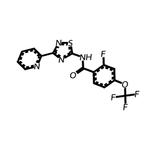 O=C(Nc1nc(-c2ccccn2)ns1)c1ccc(OC(F)(F)F)cc1F